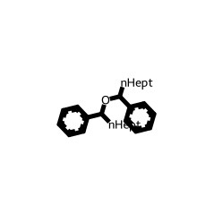 CCCCCCCC(OC(CCCCCCC)c1ccccc1)c1ccccc1